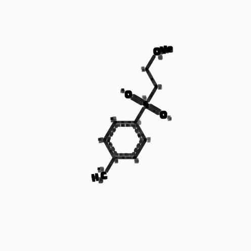 COCCS(=O)(=O)c1ccc(C)cc1